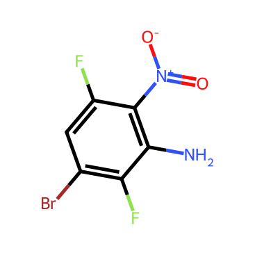 Nc1c(F)c(Br)cc(F)c1[N+](=O)[O-]